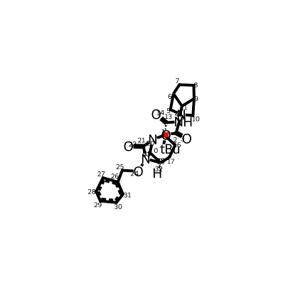 CC(C)(C)OC(=O)N1CC2CCC(C1)C2NC(=O)[C@@H]1CC[C@@H]2CN1C(=O)N2OCc1ccccc1